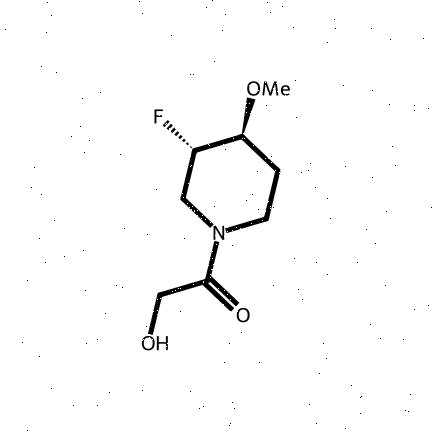 CO[C@H]1CCN(C(=O)CO)C[C@@H]1F